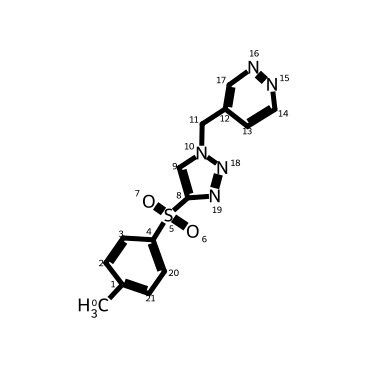 Cc1ccc(S(=O)(=O)c2cn(Cc3ccnnc3)nn2)cc1